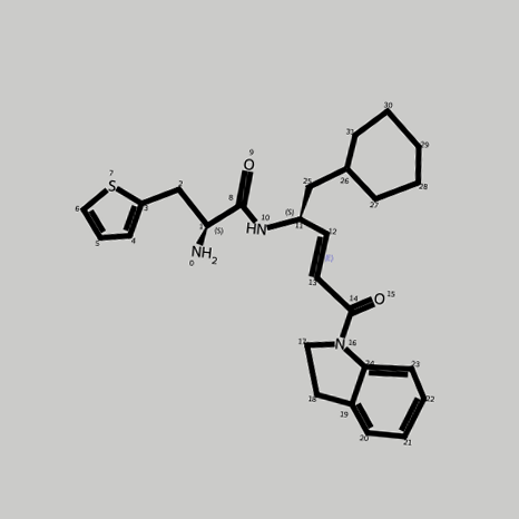 N[C@@H](Cc1cccs1)C(=O)N[C@H](/C=C/C(=O)N1CCc2ccccc21)CC1CCCCC1